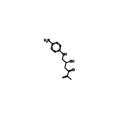 C=C(C)C(=O)CC(O)CNc1ccc(N)cc1